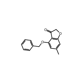 Cc1cc2c(c(OCc3ccccc3)c1)C(=O)CO2